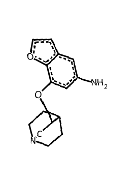 Nc1cc(OC2CN3CCC2CC3)c2occc2c1